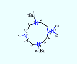 CN1CCN(C(C)(C)C)CCN(N(C)C)CCN(C(C)(C)C)CC1